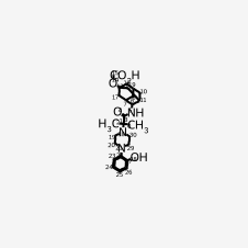 CC(C)(C(=O)NC1C2CC3CC1CC(OC(=O)O)(C3)C2)N1CCN(c2ccccc2O)CC1